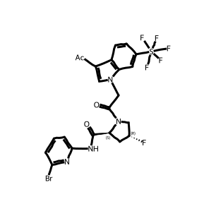 CC(=O)c1cn(CC(=O)N2C[C@H](F)C[C@H]2C(=O)Nc2cccc(Br)n2)c2cc(S(F)(F)(F)(F)F)ccc12